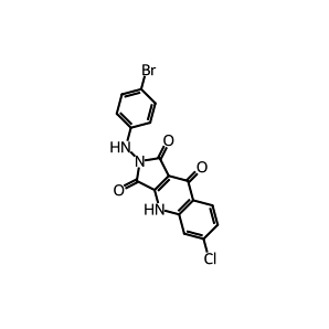 O=C1c2[nH]c3cc(Cl)ccc3c(=O)c2C(=O)N1Nc1ccc(Br)cc1